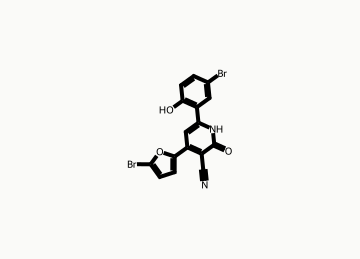 N#Cc1c(-c2ccc(Br)o2)cc(-c2cc(Br)ccc2O)[nH]c1=O